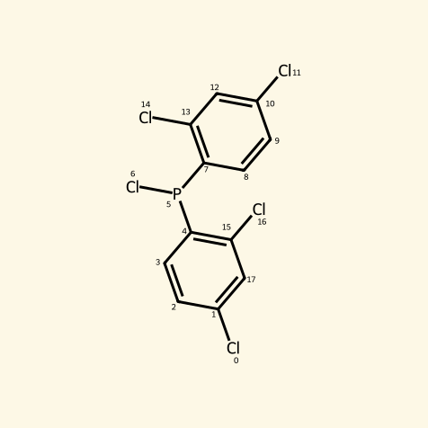 Clc1ccc(P(Cl)c2ccc(Cl)cc2Cl)c(Cl)c1